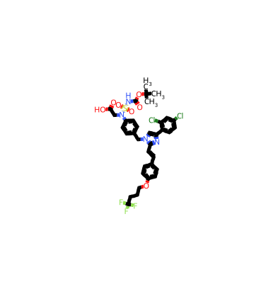 CC(C)(C)OC(=O)NS(=O)(=O)N(CC(=O)O)c1ccc(Cn2cc(-c3ccc(Cl)cc3Cl)nc2/C=C/c2ccc(OCCCC(F)(F)F)cc2)cc1